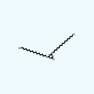 CC(C)CCCCCCCCCCCCCCCOc1nc(Cl)nc(OCCCCCCCCCCCCCCCC(C)C)n1